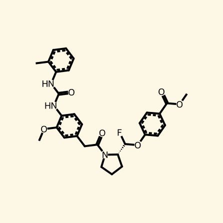 COC(=O)c1ccc(OC(F)[C@@H]2CCCN2C(=O)Cc2ccc(NC(=O)Nc3ccccc3C)c(OC)c2)cc1